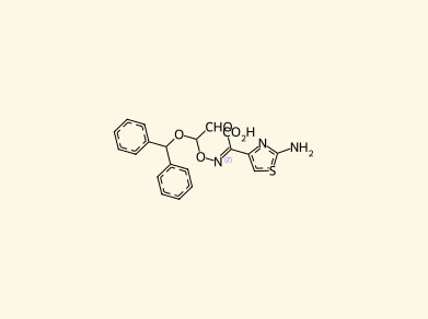 Nc1nc(/C(=N/OC(C=O)OC(c2ccccc2)c2ccccc2)C(=O)O)cs1